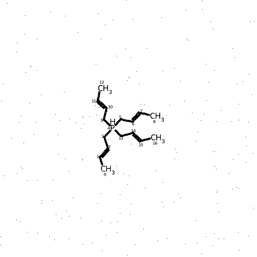 CC=CC[PH](CC=CC)(CC=CC)CC=CC